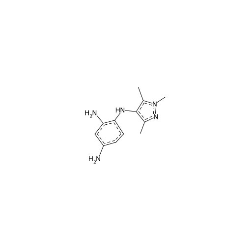 Cc1nn(C)c(C)c1Nc1ccc(N)cc1N